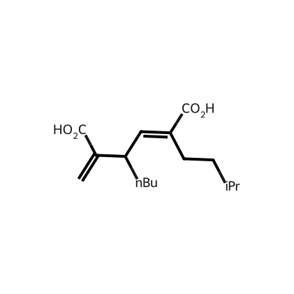 C=C(C(=O)O)C(C=C(CCC(C)C)C(=O)O)CCCC